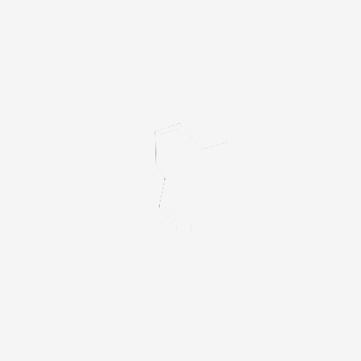 C=CC[C@H](C)/C=C\CS(=O)(=O)O